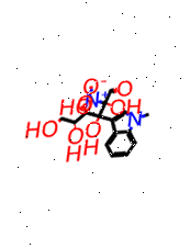 Cn1cc([C@](O)([C@H](O)[C@H](O)CO)[C@@](O)(C=O)[N+](=O)[O-])c2ccccc21